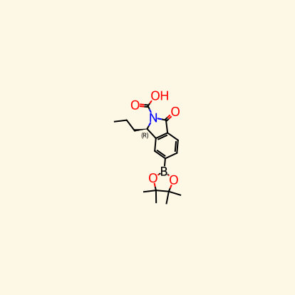 CCC[C@@H]1c2cc(B3OC(C)(C)C(C)(C)O3)ccc2C(=O)N1C(=O)O